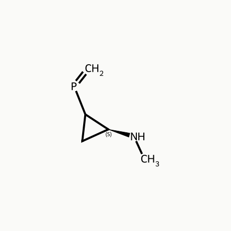 C=PC1C[C@@H]1NC